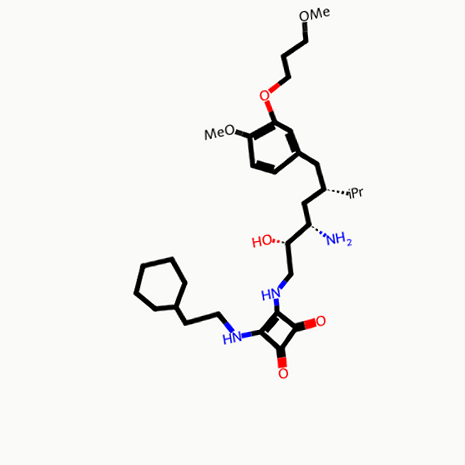 COCCCOc1cc(C[C@@H](C[C@H](N)[C@@H](O)CNc2c(NCCC3CCCCC3)c(=O)c2=O)C(C)C)ccc1OC